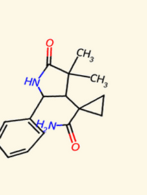 CC1(C)C(=O)NC(c2ccccc2)C1C1(C(N)=O)CC1